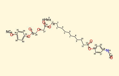 CCCCCC[C@H](CCCCCCCCCCC(=O)Oc1ccc(N=C=O)cc1)OC(=O)COCC(=O)Oc1ccc(OC#N)cc1